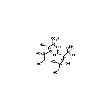 O=C(O)[C@H](O)[C@@H](O)[C@H](O)[C@H](O)CO.O=C(O)[C@H](O)[C@@H](O)[C@H](O)[C@H](O)CO.[KH]